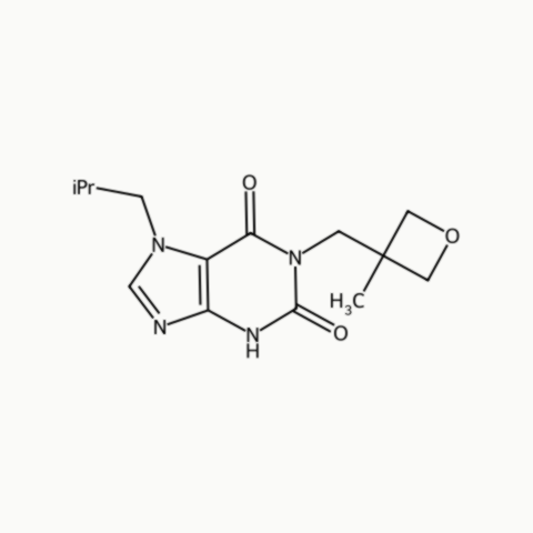 CC(C)Cn1cnc2[nH]c(=O)n(CC3(C)COC3)c(=O)c21